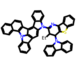 CCC1C(n2c3ccccc3c3c4c5ccc6ccccc6c5n5c6ccccc6c(cc32)c45)=Nc2c(sc3ccccc23)C1n1c2ccccc2c2ccccc21